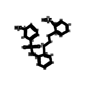 Cc1cccc(S(=O)(=O)Nc2ccccc2CCCc2ccccc2C(=O)O)c1